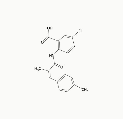 CC(=Cc1ccc(C)cc1)C(=O)Nc1ccc(Cl)cc1C(=O)O